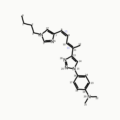 CCCCn1cnc(/C=C\C=C(/C)c2cn(-c3ccc(N(C)C)cc3)nn2)c1